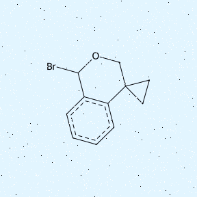 BrC1OCC2(CC2)c2ccccc21